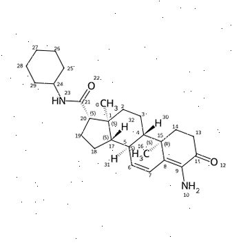 C[C@]12CC[C@H]3[C@@H](C=CC4=C(N)C(=O)CC[C@@]43C)[C@@H]1CC[C@@H]2C(=O)NC1CCCCC1